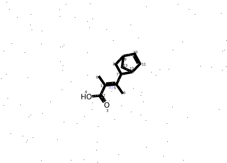 C/C(C(=O)O)=C(/C)C1CC2C=CC1C2